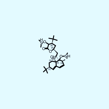 C[C@H]1C=CC2=C[C@@H](C(C)(C)C)C[C@H](O)[C@@H]2[C@@]1(CC[C@@H]1C[C@H](C(C)(C)C)C(O[SiH](C)C)C(=O)O1)O[SiH](C)C